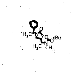 C[C@H]([C@H]1CC(=O)N([C@@H](C)c2ccccc2)C1)N(C)C(=O)OC(C)(C)C